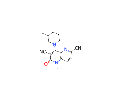 CC1CCCN(c2c(C#N)c(=O)n(C)c3ccc(C#N)nc23)C1